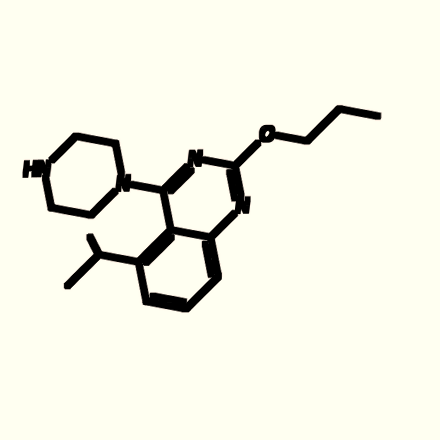 CCCOc1nc(N2CCNCC2)c2c(C(C)C)cccc2n1